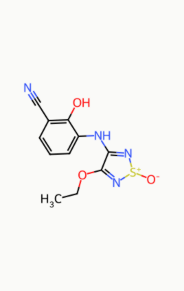 CCOc1n[s+]([O-])nc1Nc1cccc(C#N)c1O